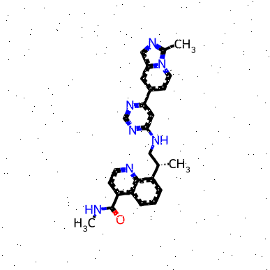 CNC(=O)c1ccnc2c([C@@H](C)CNc3cc(-c4ccn5c(C)ncc5c4)ncn3)cccc12